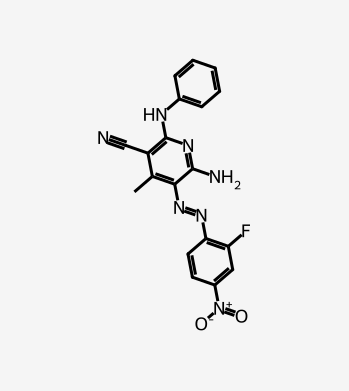 Cc1c(C#N)c(Nc2ccccc2)nc(N)c1/N=N/c1ccc([N+](=O)[O-])cc1F